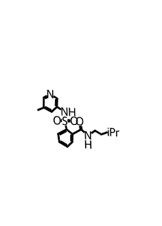 Cc1cncc(NS(=O)(=O)c2ccccc2C(=O)NCCC(C)C)c1